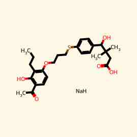 CCCc1c(OCCCSc2ccc(C(O)C(C)(C)CC(=O)O)cc2)ccc(C(C)=O)c1O.[NaH]